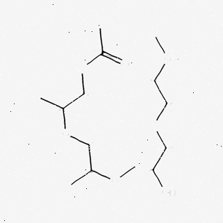 COC(C)COC(C)COC(C)=O.COCCOCCO